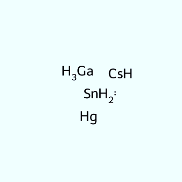 [CsH].[GaH3].[Hg].[SnH2]